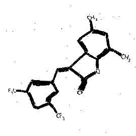 Cc1cc(C)c2c(c1)/C(=C/c1cc(C(F)(F)F)cc(C(F)(F)F)c1)C(=O)O2